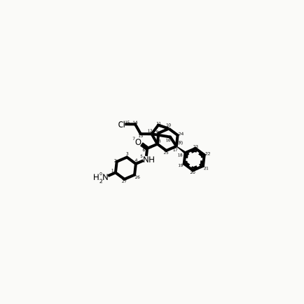 NC1CCC(NC(=O)C23CC4CC2(CCCl)C[C@](c2ccccc2)(C4)C3)CC1